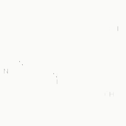 CCCCCCCC(CCCCC)NCCCn1ccnc1